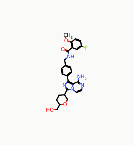 COc1ccc(F)cc1C(=O)NCc1ccc(-c2nc(C3CCC(CO)OC3)n3ccnc(N)c23)cc1